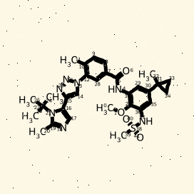 COc1c(NC(=O)c2ccc(C)c(-n3cc(-c4cnc(C)n4C(C)(C)C)nn3)c2)cc(C2(C)CC2)cc1NS(C)(=O)=O